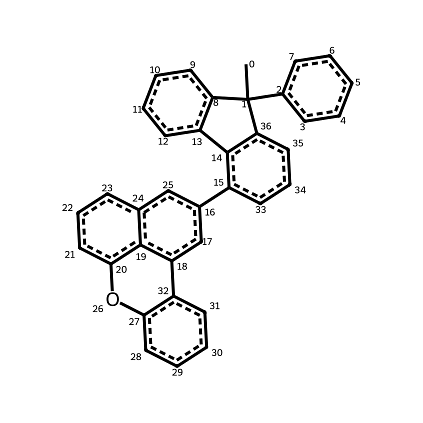 CC1(c2ccccc2)c2ccccc2-c2c(-c3cc4c5c(cccc5c3)Oc3ccccc3-4)cccc21